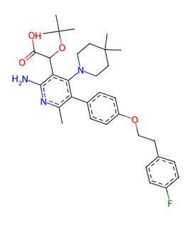 Cc1nc(N)c(C(OC(C)(C)C)C(=O)O)c(N2CCC(C)(C)CC2)c1-c1ccc(OCCc2ccc(F)cc2)cc1